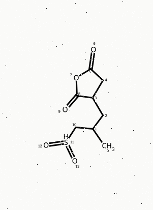 CC(CC1CC(=O)OC1=O)C[SH](=O)=O